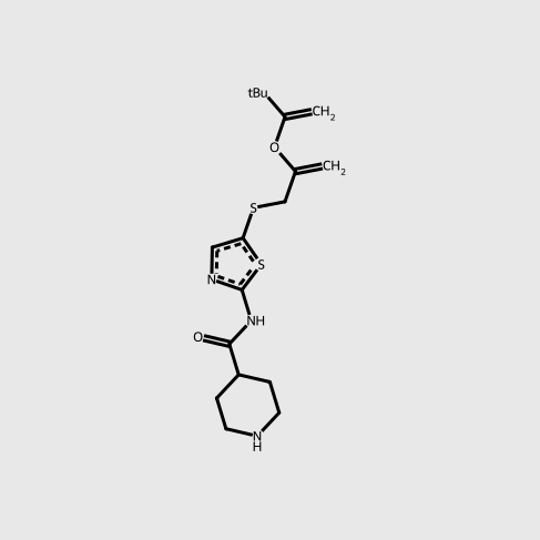 C=C(CSc1cnc(NC(=O)C2CCNCC2)s1)OC(=C)C(C)(C)C